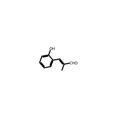 CC([C]=O)=Cc1ccccc1O